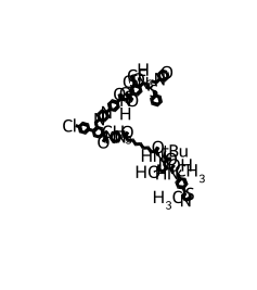 Cc1ncsc1-c1ccc([C@H](C)NC(O)[C@@H]2C[C@@H](O)CN2C(=O)[C@@H](NC(=O)CCCCCCCC(=O)N2CCN(C(=O)C3(C)CCC(c4ccc(Cl)cc4)=C(CN4CCN(c5ccc(C(=O)NS(=O)(=O)c6ccc(N[C@H](CCN7CCOCC7)CSc7ccccc7)c(S(=O)(=O)C(F)(F)F)c6)cc5)CC4)C3)CC2)C(C)(C)C)cc1